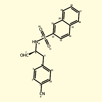 N#Cc1ccc(C[C@@H](C=O)NS(=O)(=O)c2ccc3ccccc3c2)cc1